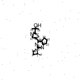 C[C@H]1CCN1c1nc2c(c(-c3cnc(C(C)(C)O)s3)n1)CCC2